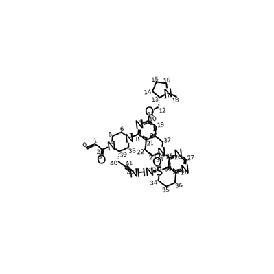 C=CC(=O)N1CCN(c2nc(OC[C@@H]3CCCN3C)cc3c2CCN(c2ncnc4c2S(=N)(=O)CCC4)C3)C[C@@H]1CC#N